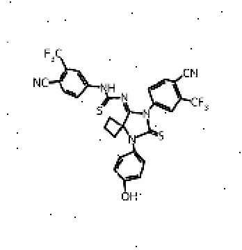 N#Cc1ccc(NC(=S)N=C2N(c3ccc(C#N)c(C(F)(F)F)c3)C(=S)N(c3ccc(O)cc3)C23CCC3)cc1C(F)(F)F